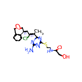 C/C(=C(Cl)\C=C1\COCc2ccccc21)c1nc(N)nc(SCCNC(=O)CO)n1